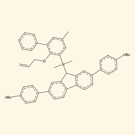 C=CCOc1c(-c2ccccc2)cc(C)cc1[Si](C)(C)C1c2cc(-c3ccc(CCCC)cc3)ccc2-c2ccc(-c3ccc(CCCC)cc3)cc21